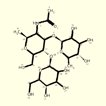 CC(=O)NC1C(O[C@@H]2OC(C)[C@@H](O)C(O)C2O)[C@H](O[C@@H]2OC(CO)[C@H](O)C(O)C2O)C(CO)O[C@H]1C